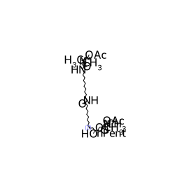 CCCCCC(OC(=O)C[N+](C)(C)OC(C)=O)C(O)C/C=C\CCCCCCCC(=O)NCCCCCCCCCCNC(=O)C[N+](C)(C)CCOC(C)=O